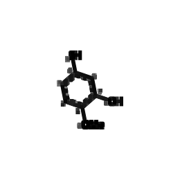 COc1ccc(S)cc1O